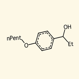 CCCCCOc1ccc(C(O)CC)cc1